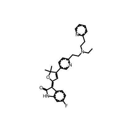 CCN(CCc1ccccn1)CCc1ccc(C2=CC(=C3C(=O)Nc4cc(F)ccc43)OC2(C)C)cn1